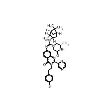 C[C@H]1[C@@H](NC(=Nc2ccc3c(=O)n(CCc4ccc(Br)cc4)c(-c4cnccn4)nc3c2)N2CC(=O)N[C@@H](C)C2)C[C@@H]2C[C@@H]1C2(C)C